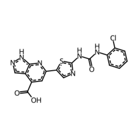 O=C(Nc1ncc(-c2cc(C(=O)O)c3cn[nH]c3n2)s1)Nc1ccccc1Cl